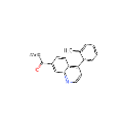 COC(=O)c1ccc2c(-c3ccccc3C)ccnc2c1